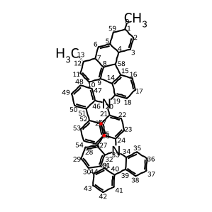 CC1C=CC2C(=CC3C4=C(C=C[C@@H]3C)c3c(cccc3N(c3ccc5c(c3)c3ccccc3n5-c3ccccc3-c3ccccc3)c3ccccc3-c3ccccc3)C42)C1